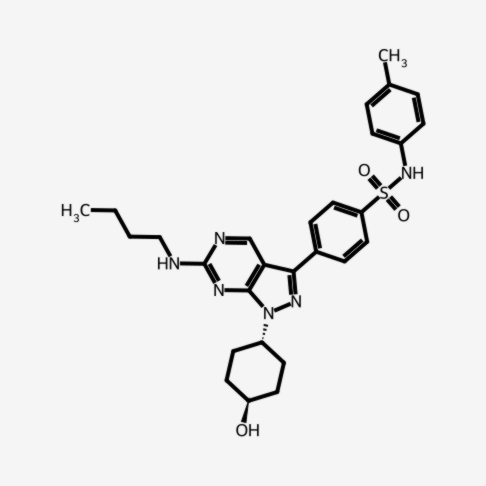 CCCCNc1ncc2c(-c3ccc(S(=O)(=O)Nc4ccc(C)cc4)cc3)nn([C@H]3CC[C@H](O)CC3)c2n1